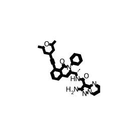 CC1CC(C#Cc2cccc3cc([C@H](C)NC(=O)c4c(N)nn5cccnc45)n(-c4ccccc4)c(=O)c23)CC(C)O1